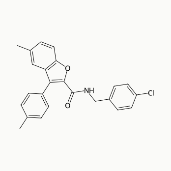 Cc1ccc(-c2c(C(=O)NCc3ccc(Cl)cc3)oc3ccc(C)cc23)cc1